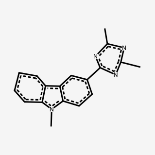 Cc1nc(C)nc(-c2ccc3c(c2)c2ccccc2n3C)n1